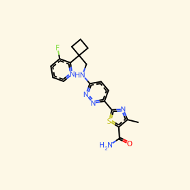 Cc1nc(-c2ccc(NCC3(c4ncccc4F)CCC3)nn2)sc1C(N)=O